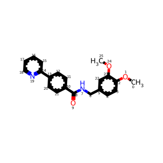 COc1ccc(CNC(=O)c2ccc(-c3ccccn3)cc2)cc1OC